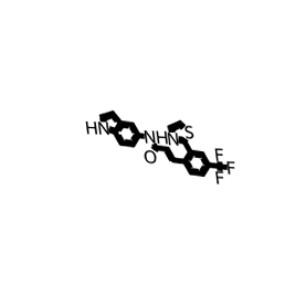 O=C(C=Cc1ccc(C(F)(F)F)cc1-c1nccs1)Nc1ccc2[nH]ccc2c1